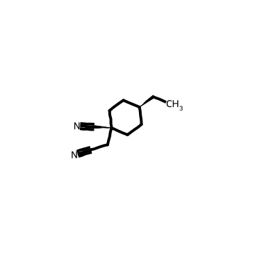 CC[C@H]1CC[C@](C#N)(CC#N)CC1